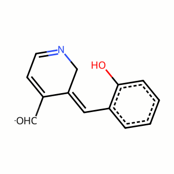 O=[C]C1=CC=NCC1=Cc1ccccc1O